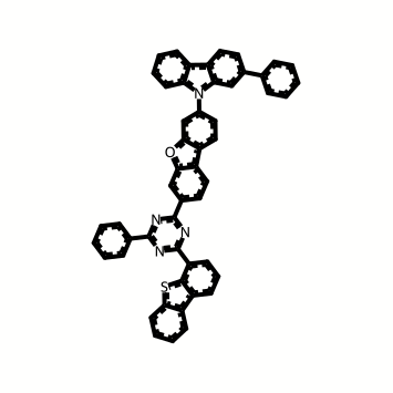 c1ccc(-c2ccc3c4ccccc4n(-c4ccc5c(c4)oc4cc(-c6nc(-c7ccccc7)nc(-c7cccc8c7sc7ccccc78)n6)ccc45)c3c2)cc1